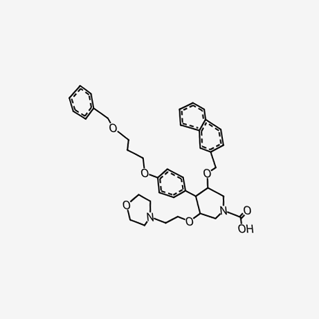 O=C(O)N1CC(OCCN2CCOCC2)C(c2ccc(OCCCOCc3ccccc3)cc2)C(OCc2ccc3ccccc3c2)C1